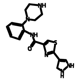 O=C(Nc1ccccc1N1CCNCC1)c1csc(C2=CNNC2)n1